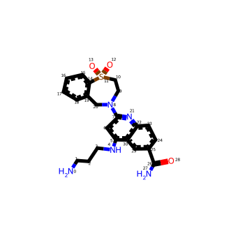 NCCCNc1cc(N2CCS(=O)(=O)c3ccccc3C2)nc2ccc(C(N)=O)cc12